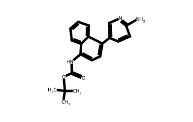 CC(C)(C)OC(=O)Nc1ccc(-c2ccc(N)nc2)c2ccccc12